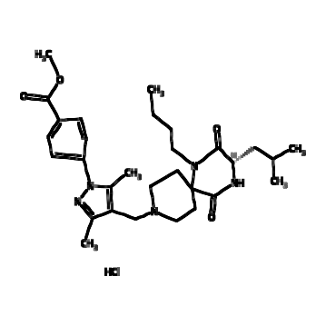 CCCCN1C(=O)[C@H](CC(C)C)NC(=O)C12CCN(Cc1c(C)nn(-c3ccc(C(=O)OC)cc3)c1C)CC2.Cl